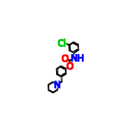 O=C(Nc1cccc(Cl)c1)Oc1cccc(CN2CCCCC2)c1